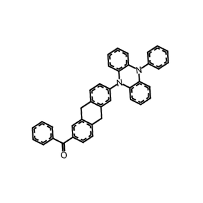 O=C(c1ccccc1)c1ccc2c(c1)Cc1ccc(N3c4ccccc4N(c4ccccc4)c4ccccc43)cc1C2